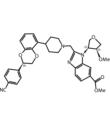 COC(=O)c1ccc2nc(CN3CCC(c4cccc5c4OC[C@@H](c4ccc(C#N)cc4)O5)CC3)n([C@H]3COC[C@H]3OC)c2c1